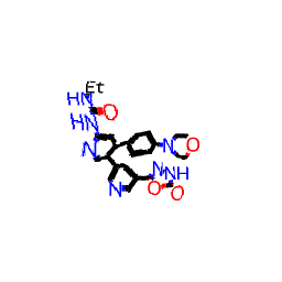 CCNC(=O)Nc1cc(-c2ccc(N3CCOCC3)cc2)c(-c2cncc(-c3n[nH]c(=O)o3)c2)cn1